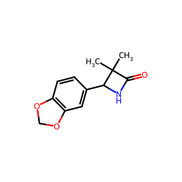 CC1(C)C(=O)NC1c1ccc2c(c1)OCO2